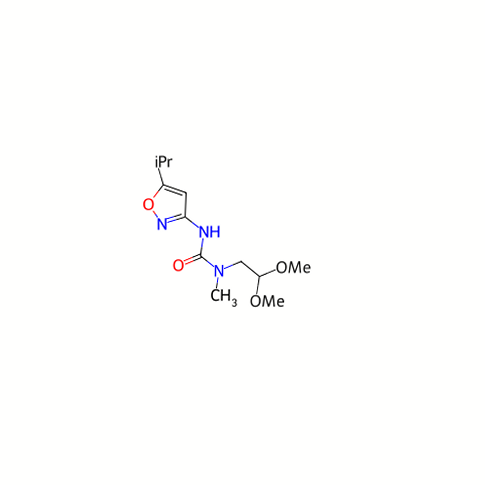 COC(CN(C)C(=O)Nc1cc(C(C)C)on1)OC